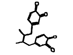 CC(CC1=CC(=O)C(=O)C=C1)C(C)CC1=CC(=O)C(=O)C=C1